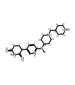 CN(c1ccc(C2CCC(=O)NC2=O)cn1)C1CCN(CC2CCNCC2)CC1